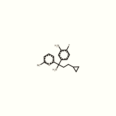 N#Cc1cccc(C(N)(CCC2CC2)c2ccc(F)c(N)c2)n1